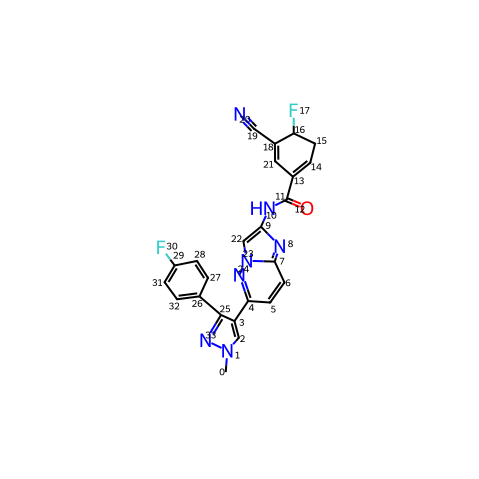 Cn1cc(-c2ccc3nc(NC(=O)C4=CCC(F)C(C#N)=C4)cn3n2)c(-c2ccc(F)cc2)n1